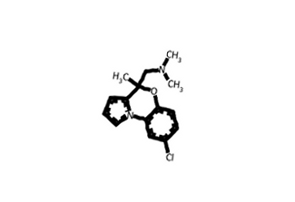 CN(C)CC1(C)Oc2ccc(Cl)cc2-n2cccc21